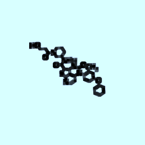 Cc1cc(Oc2ccccc2)ccc1N1C(=O)Nc2c(C(=O)NC3CCCN(C(=O)CCO)C3)sc3nccc1c23